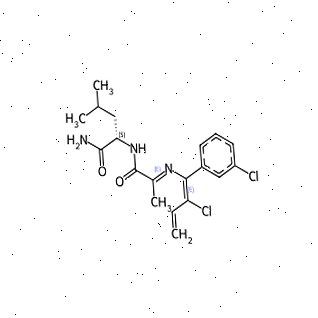 C=C/C(Cl)=C(\N=C(/C)C(=O)N[C@@H](CC(C)C)C(N)=O)c1cccc(Cl)c1